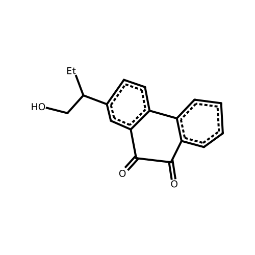 CCC(CO)c1ccc2c(c1)C(=O)C(=O)c1ccccc1-2